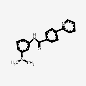 CN(C)c1cccc(NC(=O)c2ccc(-c3ccccn3)cc2)c1